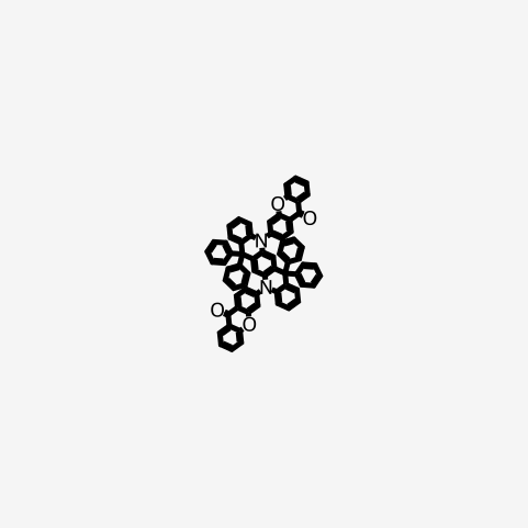 O=c1c2ccccc2oc2cc(N3c4ccccc4C(c4ccccc4)(c4ccccc4)c4cc5c(cc43)C(c3ccccc3)(c3ccccc3)c3ccccc3N5c3ccc4c(=O)c5ccccc5oc4c3)ccc12